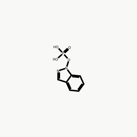 O=P(O)(O)On1ncc2ccccc21